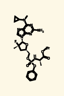 CC(C)OC(=O)[C@H](C)NP(=O)(OC[C@@H]1C[C@@](C)(F)[C@H](n2cnc3c(N(C)C4CC4)nc(N)nc32)O1)Oc1ccccc1